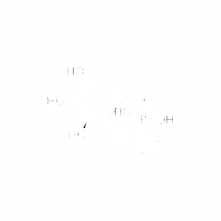 O=P(O)(O)C1(C[C@H]2CC[C@@H](O)[C@@H](O)[C@@H]2O)CC1